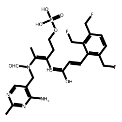 C/C(=C(CCOP(=O)(O)O)/[SH]=C(O)\C=C\c1c(CF)ccc(CF)c1CF)N(C=O)Cc1cnc(C)nc1N